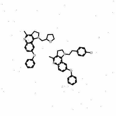 Cc1nc2ccc(Oc3ccccc3)cc2c2c1CCN2CC1CCCO1.Cc1nc2ccc(Oc3ccccc3)cc2c2c1CCN2CCc1ccc(Cl)cc1